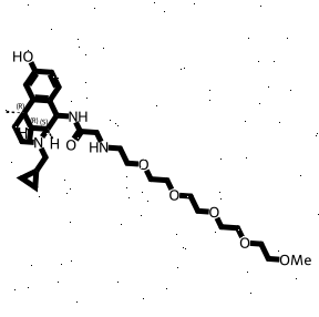 COCCOCCOCCOCCOCCNCC(=O)NC1c2ccc(O)cc2[C@]2(C)CCN(CC3CC3)[C@H]1[C@@H]2C